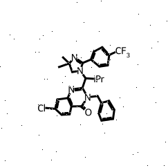 CC(C)C(c1nc2cc(Cl)ccc2c(=O)n1Cc1ccccc1)N1CC(C)(C)N=C1c1ccc(C(F)(F)F)cc1